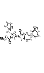 CC(C)(C)OC(=O)N1C[C@H](N2Cc3ccc(-c4cccc(C#N)c4)cc3C2=O)C[C@H]1Cn1cccn1